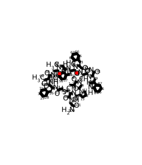 CCCC(=O)N(C)CC(=O)N1CCC[C@H]1C(=O)N[C@@H](CSCC(=O)N[C@@H](Cc1ccccc1)C(=O)NC(C(=O)NCC(=O)N(C)CC(=O)N[C@@H](Cc1ccc(O)cc1)C(=O)N(C)[C@@H](Cc1ccccc1)C(=O)N(C)CC(=O)N[C@@H](Cc1c[nH]c2ccccc12)C(N)=O)C(C)C)C(=O)NCC(N)=O